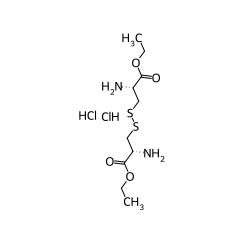 CCOC(=O)[C@@H](N)CSSC[C@H](N)C(=O)OCC.Cl.Cl